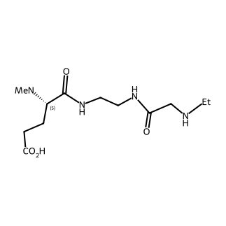 CCNCC(=O)NCCNC(=O)[C@H](CCC(=O)O)NC